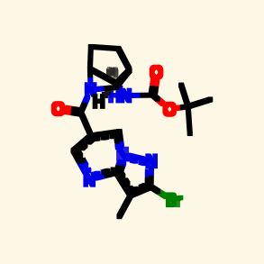 Cc1c(Br)nn2cc(C(=O)N3CC4CCC3[C@@H]4NC(=O)OC(C)(C)C)cnc12